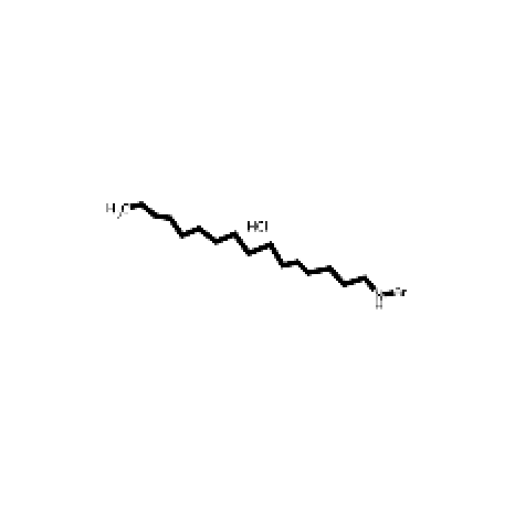 CCCCCCCCCCCCCCCCNBr.Cl